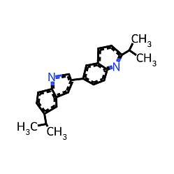 CC(C)c1ccc2ncc(-c3ccc4nc(C(C)C)ccc4c3)cc2c1